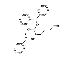 O=CCCC[C@@H](NC(=O)c1ccccc1)C(=O)OC(c1ccccc1)c1ccccc1